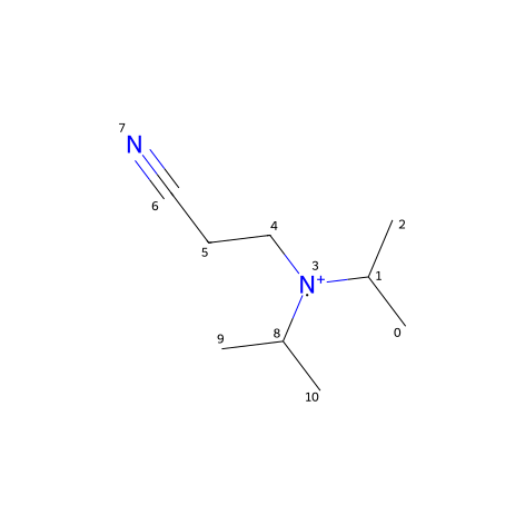 CC(C)[N+](CCC#N)C(C)C